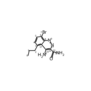 CCCc1ccc(Br)c2nnc(C(N)=O)c(N)c12